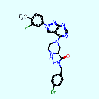 O=C(NCc1ccc(Br)cc1)[C@@H]1CN(c2ncnc3nn(-c4ccc(C(F)(F)F)c(F)c4)cc23)CCN1